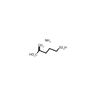 C=C(CCCS(=O)(=O)O)C(=O)O.N